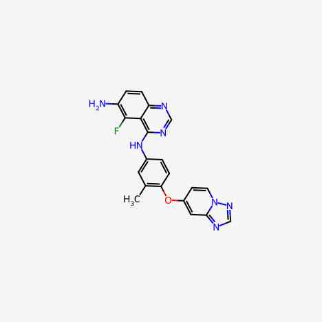 Cc1cc(Nc2ncnc3ccc(N)c(F)c23)ccc1Oc1ccn2ncnc2c1